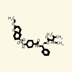 CCOc1ccc2cc(S(=O)(=O)NC3CCC(C(=O)N[C@H](COC(=O)C(NC)C(C)C)c4ccccc4)CC3)ccc2n1